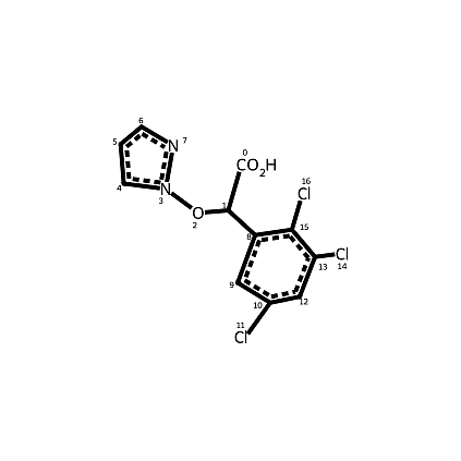 O=C(O)C(On1cccn1)c1cc(Cl)cc(Cl)c1Cl